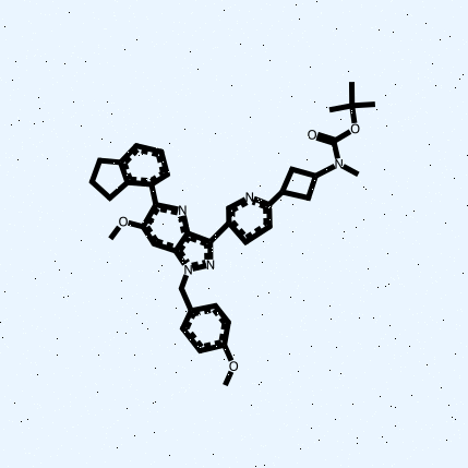 COc1ccc(Cn2nc(-c3ccc(C4CC(N(C)C(=O)OC(C)(C)C)C4)nc3)c3nc(-c4cccc5c4CCC5)c(OC)cc32)cc1